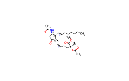 CCCCCC/C=C/[C@H]1[C@H](NC(C)=O)CC(=O)[C@@H]1C/C=C\CCC(C)(OC(C)=O)C(=O)OC